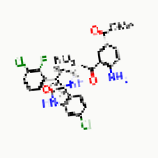 COC(=O)c1ccc(N)c(C(=O)C[C@@H]2N[C@@]3(C(=O)Nc4cc(Cl)ccc43)[C@@H](c3cccc(Cl)c3F)[C@@H]2[N+](=O)[O-])c1